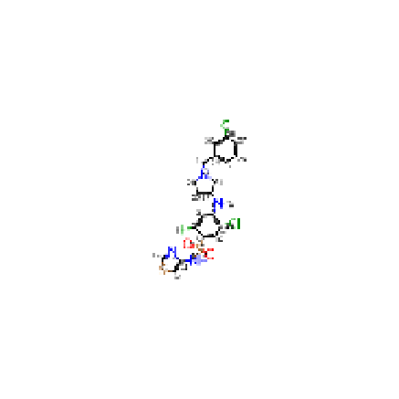 CN(c1cc(F)c(S(=O)(=O)Nc2cscn2)cc1Cl)C1CCN(Cc2cccc(Cl)c2)C1